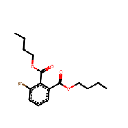 CCCCOC(=O)c1cccc(Br)c1C(=O)OCCCC